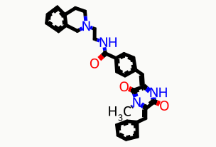 Cn1c(=O)c(=Cc2ccc(C(=O)NCCN3CCc4ccccc4C3)cc2)[nH]c(=O)c1=Cc1ccccc1